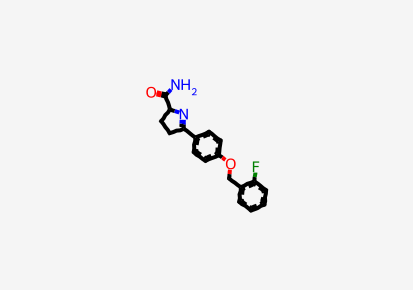 NC(=O)C1CCC(c2ccc(OCc3ccccc3F)cc2)=N1